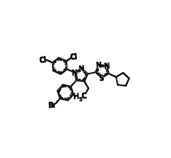 CCc1c(-c2nnc(C3CCCC3)s2)nn(-c2ccc(Cl)cc2Cl)c1-c1ccc(Br)cc1